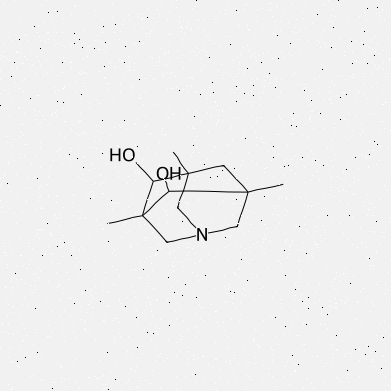 CC12CN3CC(C)(C1)C(O)C(C)(C3)C2O